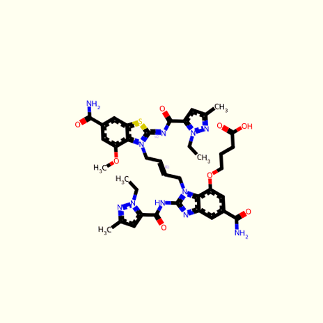 CCn1nc(C)cc1C(=O)/N=c1\sc2cc(C(N)=O)cc(OC)c2n1C/C=C/Cn1c(NC(=O)c2cc(C)nn2CC)nc2cc(C(N)=O)cc(OCCCC(=O)O)c21